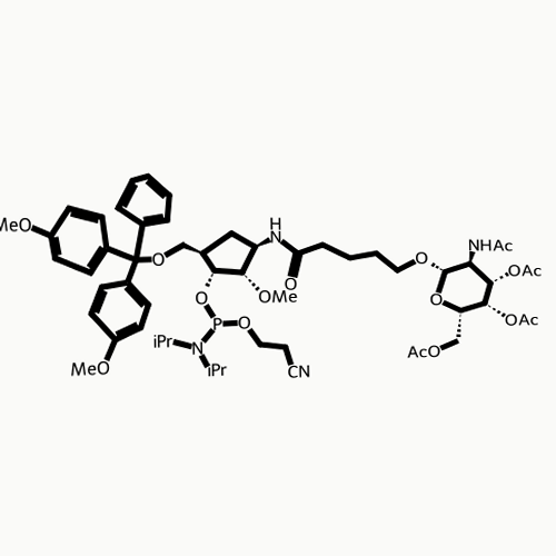 COc1ccc(C(OC[C@H]2C[C@@H](NC(=O)CCCCO[C@H]3O[C@@H](COC(C)=O)[C@@H](OC(C)=O)[C@@H](OC(C)=O)[C@@H]3NC(C)=O)[C@H](OC)[C@@H]2OP(OCCC#N)N(C(C)C)C(C)C)(c2ccccc2)c2ccc(OC)cc2)cc1